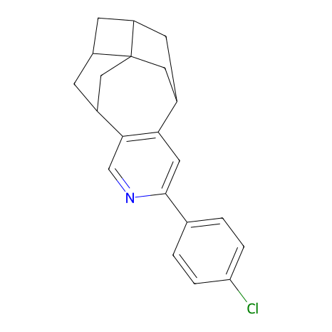 Clc1ccc(-c2cc3c(cn2)C2CC4CC5CC3CC45C2)cc1